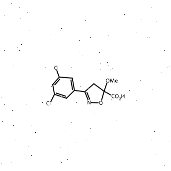 COC1(C(=O)O)CC(c2cc(Cl)cc(Cl)c2)=NO1